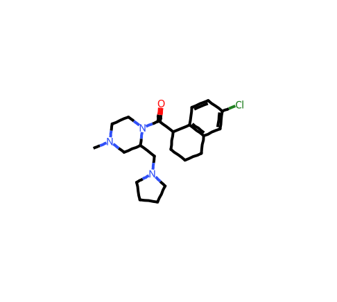 CN1CCN(C(=O)C2CCCc3cc(Cl)ccc32)C(CN2CCCC2)C1